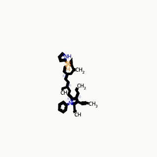 C#Cc1c(C#CC)c(=C/C=C)/c(=C\C/C(=C/C=C2/C=C[PH]3(c4ccc[nH]4)C=C3C(=C)C2)CC)n1-c1ccccc1